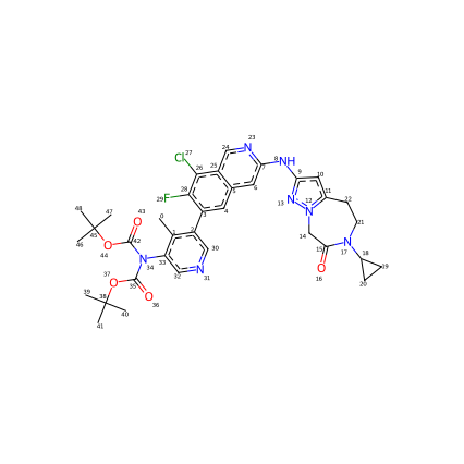 Cc1c(-c2cc3cc(Nc4cc5n(n4)CC(=O)N(C4CC4)CC5)ncc3c(Cl)c2F)cncc1N(C(=O)OC(C)(C)C)C(=O)OC(C)(C)C